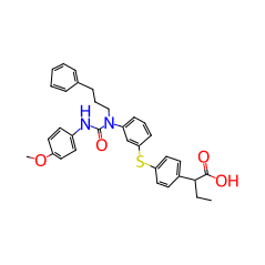 CCC(C(=O)O)c1ccc(Sc2cccc(N(CCCc3ccccc3)C(=O)Nc3ccc(OC)cc3)c2)cc1